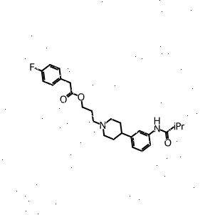 CC(C)C(=O)Nc1cccc(C2CCN(CCCOC(=O)Cc3ccc(F)cc3)CC2)c1